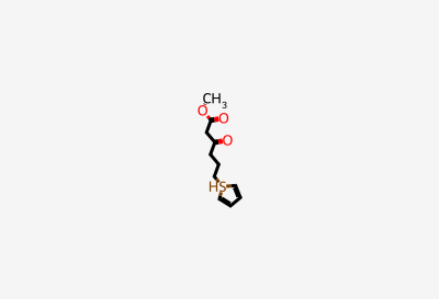 COC(=O)CC(=O)CCC[SH]1C=CC=C1